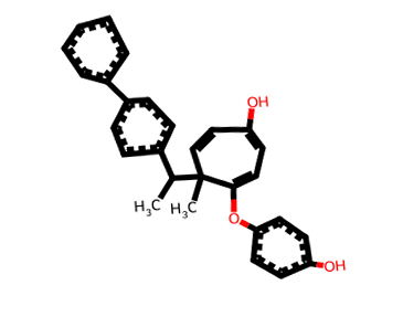 CC(c1ccc(-c2ccccc2)cc1)C1(C)C=CC(O)=CC=C1Oc1ccc(O)cc1